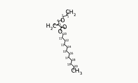 C=CCOCC(=C)C(=O)OCCCCCCCCCCCC